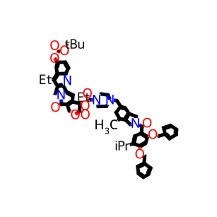 CCc1c2c(nc3ccc(OC(=O)OC(C)(C)C)cc13)-c1cc3c(c(=O)n1C2)COC(=O)C3(CC)OC(=O)N1CCN(CC2=CC3=C(CN(C(=O)c4cc(C(C)C)c(OCc5ccccc5)cc4OCc4ccccc4)C3)C(C)C2)CC1